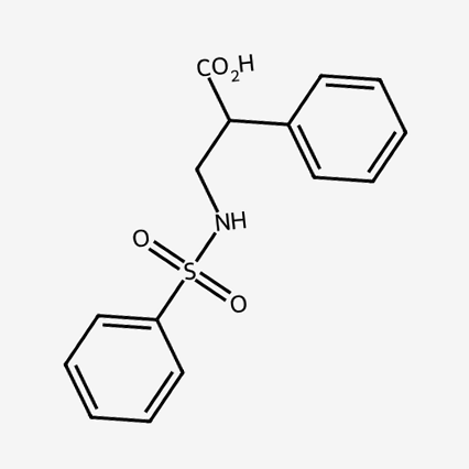 O=C(O)C(CNS(=O)(=O)c1ccccc1)c1ccccc1